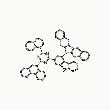 c1ccc2cc3c(cc2c1)c1cc2ccccc2cc1n3-c1cc(-c2nc(-c3cccc4ccccc34)nc(-c3cc4ccccc4c4ccccc34)n2)cc2sc3ccccc3c12